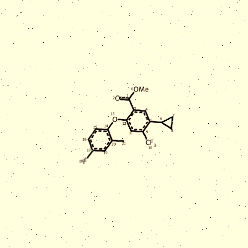 COC(=O)c1cc(C2CC2)c(C(F)(F)F)cc1Oc1ccc(F)cc1C